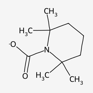 CC1(C)CCCC(C)(C)N1C([O])=O